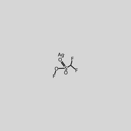 O=S(=O)(OF)C(F)F.[Ag]